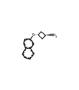 N[C@H]1C[C@H](Oc2ccc3ccccc3c2)C1